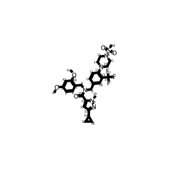 COc1ccc(CN(Cc2ccc(N3CCN(S(C)(=O)=O)CC3)c(C(F)(F)F)c2)C(=O)c2cc(C3CC3)nn2C)c(OC)c1